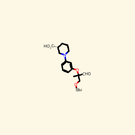 CC(C)(C)OCC(C)(C=O)Oc1cccc(N2CCC[C@@H](C(=O)O)C2)c1